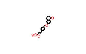 O=C(O)/C=C/c1ccc(COc2ccc3c(c2)CCCC3=O)cc1